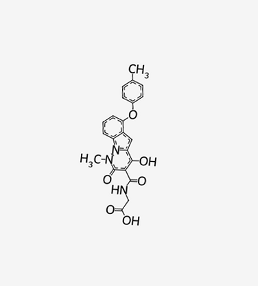 Cc1ccc(Oc2cccc3c2cc2c(O)c(C(=O)NCC(=O)O)c(=O)n(C)n23)cc1